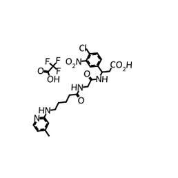 Cc1ccnc(NCCCCC(=O)NCC(=O)NC(CC(=O)O)c2ccc(Cl)c([N+](=O)[O-])c2)c1.O=C(O)C(F)(F)F